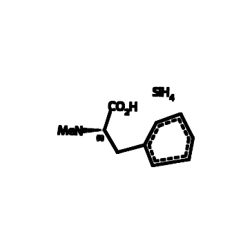 CN[C@@H](Cc1ccccc1)C(=O)O.[SiH4]